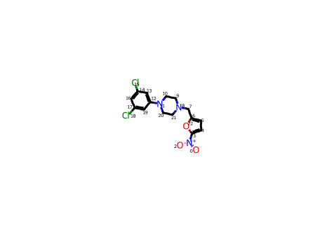 O=[N+]([O-])c1ccc(CN2CCN(c3cc(Cl)cc(Cl)c3)CC2)o1